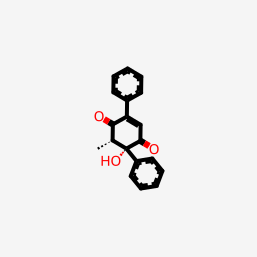 C[C@@H]1C(=O)C(c2ccccc2)=CC(=O)[C@@]1(O)c1ccccc1